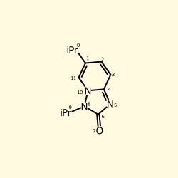 CC(C)c1ccc2nc(=O)n(C(C)C)n2c1